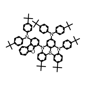 CC(C)(C)c1ccc(N(c2ccc(C(C)(C)C)cc2)c2cc3c4c(c2)N(c2ccc(N(c5ccc(C(C)(C)C)cc5)c5ccc(C(C)(C)C)cc5)c5c2oc2ccccc25)c2ccc(C(C)(C)C)cc2B4c2cc(C(C)(C)C)ccc2N3c2ccc(C(C)(C)C)cc2)cc1